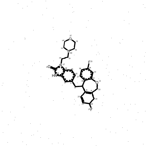 O=c1[nH]c2cc(CC3C4=C(COc5cc(F)ccc53)CC(F)C=C4)ccc2n1CCN1CCOCC1